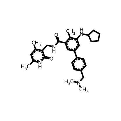 Cc1cc(C)c(CNC(=O)c2cc(-c3ccc(CN(C)C)cc3)cc(NC3CCCC3)c2C)c(=O)[nH]1